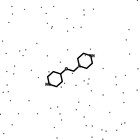 C1CC(OCN2CCNCC2)CCN1